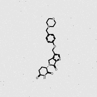 O=C1CC[C@H](N2Cc3c(COc4ccc(CN5CCOCC5)cc4)csc3C2=O)C(=O)N1